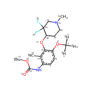 [2H]C([2H])([2H])Oc1ccc(NC(=O)OC(C)(C)C)c(C#N)c1OC1CCN(C)CC1(F)F